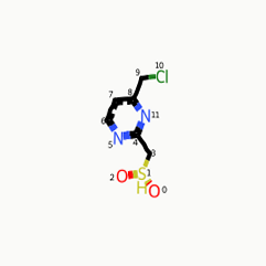 O=[SH](=O)Cc1nccc(CCl)n1